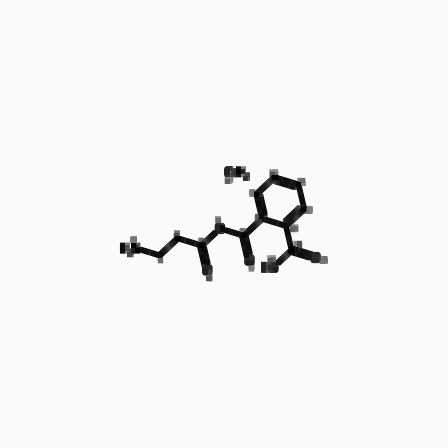 NCCC(=O)OC(=O)c1ccccc1C(=O)O.[CaH2]